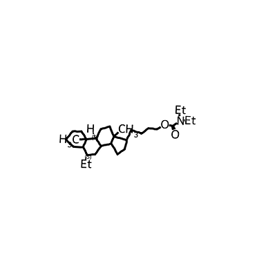 CC[C@H]1CC2C3CCC(CCCCOC(=O)N(CC)CC)C3(C)CC[C@@H]2C2(C)CCCCC12